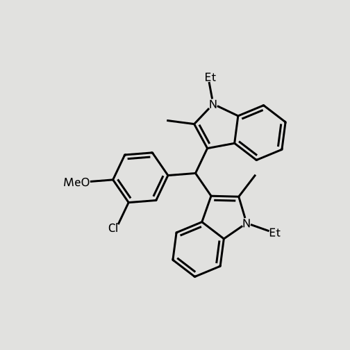 CCn1c(C)c(C(c2ccc(OC)c(Cl)c2)c2c(C)n(CC)c3ccccc23)c2ccccc21